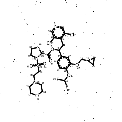 O=C(OC(Cc1c(Cl)cncc1Cl)c1ccc(OC(F)F)c(OCC2CC2)c1)[C@@H]1SCCN1S(=O)(=O)CCN1CCOCC1